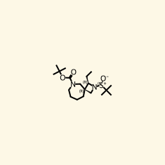 CC[C@H]1N([S@+]([O-])C(C)(C)C)C[C@]12CCCCN(C(=O)OC(C)(C)C)C2